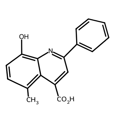 Cc1ccc(O)c2nc(-c3ccccc3)cc(C(=O)O)c12